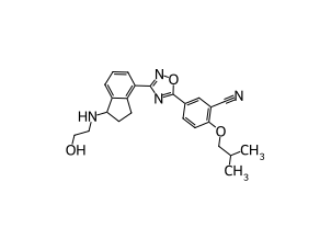 CC(C)COc1ccc(-c2nc(-c3cccc4c3CCC4NCCO)no2)cc1C#N